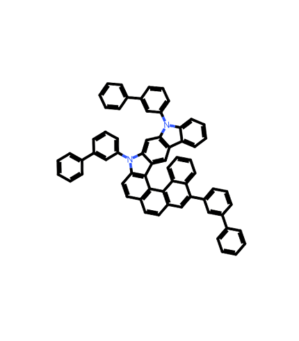 c1ccc(-c2cccc(-c3cc4ccc5ccc6c(c7cc8c9ccccc9n(-c9cccc(-c%10ccccc%10)c9)c8cc7n6-c6cccc(-c7ccccc7)c6)c5c4c4ccccc34)c2)cc1